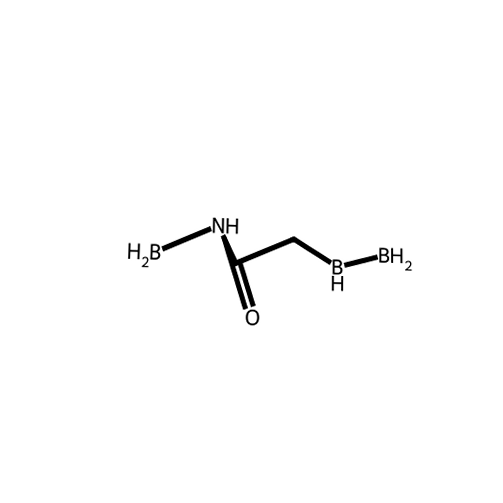 BBCC(=O)NB